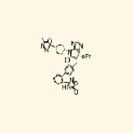 CCCc1c(Cc2ccc(-c3ccccc3-c3noc(=O)[nH]3)cc2)c(=O)n([C@H]2CC[C@H](c3nnc(C)o3)CC2)c2ncnn12